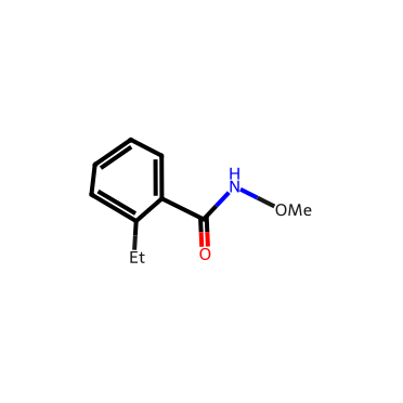 CCc1ccccc1C(=O)NOC